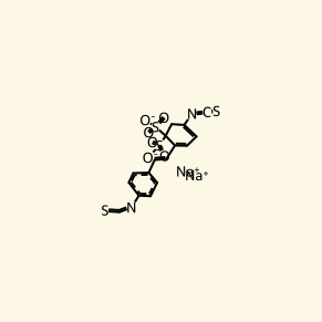 O=S(=O)([O-])C1(S(=O)(=O)[O-])CC(N=C=S)=CC=C1C=Cc1ccc(N=C=S)cc1.[Na+].[Na+]